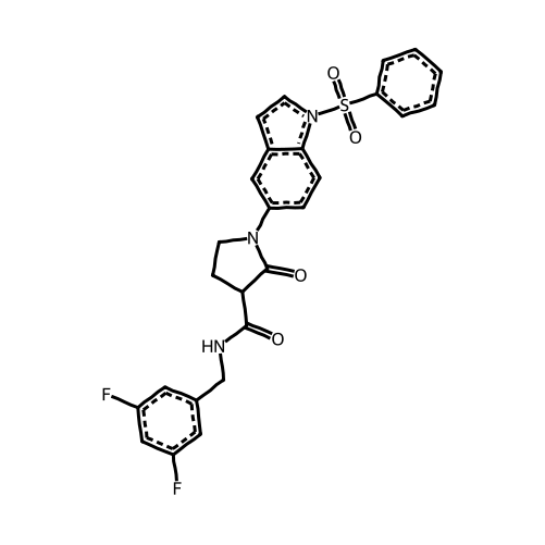 O=C(NCc1cc(F)cc(F)c1)C1CCN(c2ccc3c(ccn3S(=O)(=O)c3ccccc3)c2)C1=O